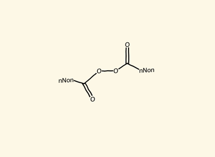 CCCCCCCCCC(=O)OOC(=O)CCCCCCCCC